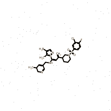 Bc1cnn(/C(=C\C(=C)C2CCCN(S(=O)(=O)c3ccc(F)c(Cl)c3)C2)NCC2=CC(C)CN=C2)c1C